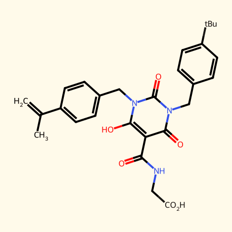 C=C(C)c1ccc(Cn2c(O)c(C(=O)NCC(=O)O)c(=O)n(Cc3ccc(C(C)(C)C)cc3)c2=O)cc1